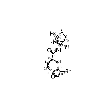 O=C(N[C@@H]1C[C@H]2CC[C@@H]1N2)c1ccc2occ(Br)c2c1